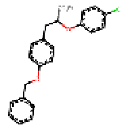 CCOC(=O)C(Cc1ccc(OCc2ccccc2)cc1)Oc1ccc(Cl)cc1